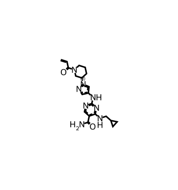 C=CC(=O)N1CCC[C@@H](n2cc(Nc3ncc(C(N)=O)c(NCC4CC4)n3)cn2)C1